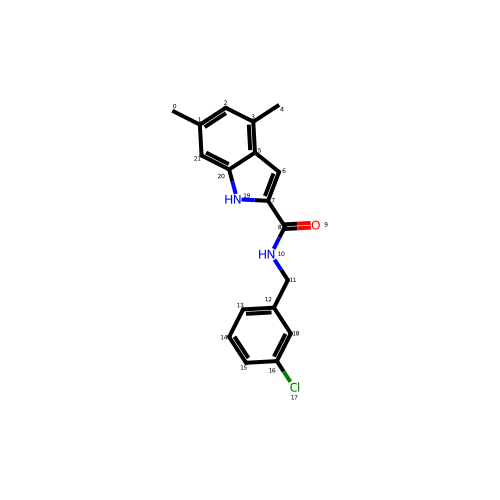 Cc1cc(C)c2cc(C(=O)NCc3cccc(Cl)c3)[nH]c2c1